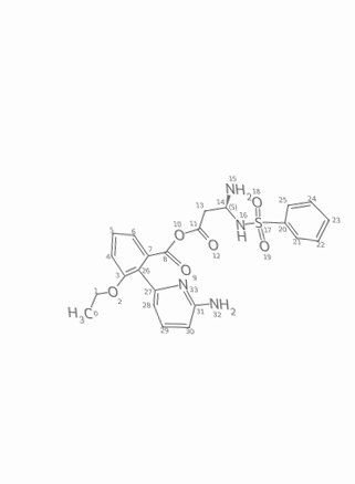 CCOc1cccc(C(=O)OC(=O)C[C@@H](N)NS(=O)(=O)c2ccccc2)c1-c1cccc(N)n1